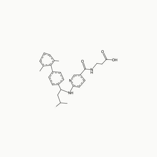 Cc1cccc(C)c1-c1ccc(C(CC(C)C)Nc2ccc(C(=O)NCCC(=O)O)cn2)cc1